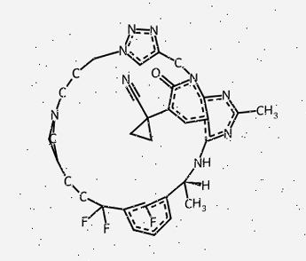 Cc1nc2c3cc(C4(C#N)CC4)c(=O)n(c3n1)Cc1cn(nn1)CCCN1CC(CCC(F)(F)c3cccc(c3F)[C@@H](C)N2)C1